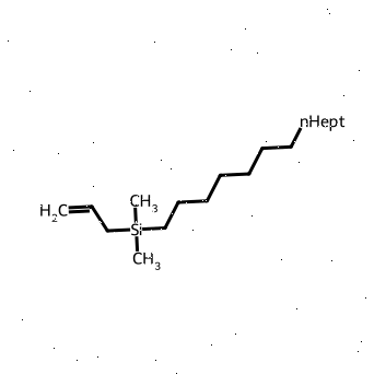 C=CC[Si](C)(C)CCCCCCCCCCCCCC